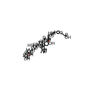 CCN(C(C)=O)C1COC(OC2C(O[C@H]3C#C/C=C\[C@]4(O)CC(=O)C(NC(=O)OC)=C3/C4=C\CSSC(C)(C)CC(=O)N/N=C(\C)c3ccc(OCCCC(=O)O)cc3)OC(C)C(NOC3CC(O)C(SC(=O)c4c(C)c(I)c(OC5OC(C)C(O)C(OC)C5O)c(OC)c4OC)C(C)O3)C2O)CC1OC